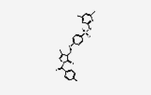 CC1=NN(C(=O)c2ccc(Cl)cc2)C(=O)C1/N=N/c1ccc(S(=O)(=O)Nc2nc(C)cc(C)n2)cc1